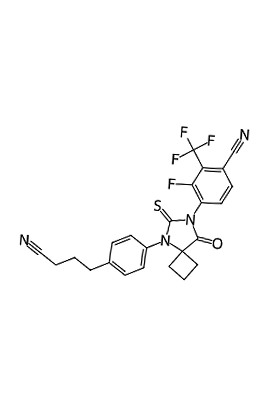 N#CCCCc1ccc(N2C(=S)N(c3ccc(C#N)c(C(F)(F)F)c3F)C(=O)C23CCC3)cc1